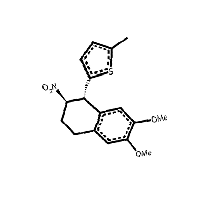 COc1cc2c(cc1OC)[C@@H](c1ccc(C)s1)[C@H]([N+](=O)[O-])CC2